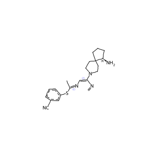 C=N/C(=C\N=C(/C)Sc1cccc(C#N)c1)N1CCC2(CCC[C@H]2N)CC1